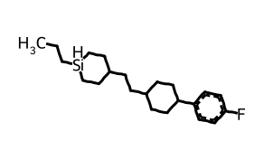 CCC[SiH]1CCC(CCC2CCC(c3ccc(F)cc3)CC2)CC1